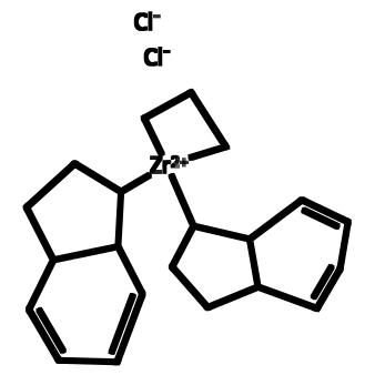 C1=CC2CC[CH]([Zr+2]3([CH]4CCC5C=CC=CC54)[CH2]C[CH2]3)C2C=C1.[Cl-].[Cl-]